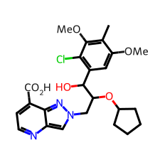 COc1cc(C(O)C(Cn2cc3nccc(C(=O)O)c3n2)OC2CCCC2)c(Cl)c(OC)c1C